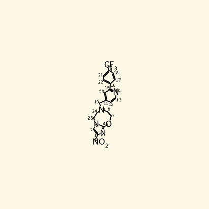 O=[N+]([O-])c1cn2c(n1)OCCN(Cc1ccnc(-c3ccc(C(F)(F)F)cc3)c1)CC2